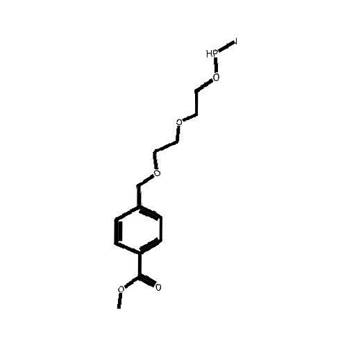 COC(=O)c1ccc(COCCOCCOPI)cc1